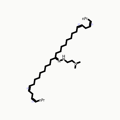 CCC/C=C\C/C=C\CCCCCCCCC(CCCCCCCC/C=C\C/C=C\CCC)=NNCCN(C)C